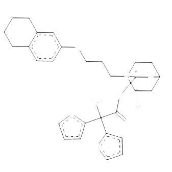 O=C(O[C@@H]1CC2CC[N+]1(CCCOc1ccc3c(c1)CCCC3)CC2)C(O)(c1cccs1)c1cccs1